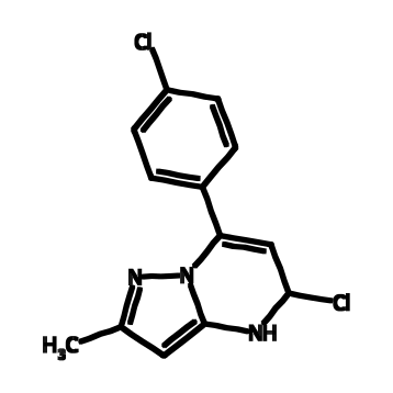 Cc1cc2n(n1)C(c1ccc(Cl)cc1)=CC(Cl)N2